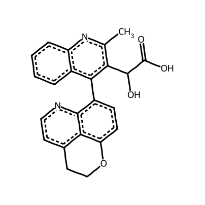 Cc1nc2ccccc2c(-c2ccc3c4c(ccnc24)CCO3)c1C(O)C(=O)O